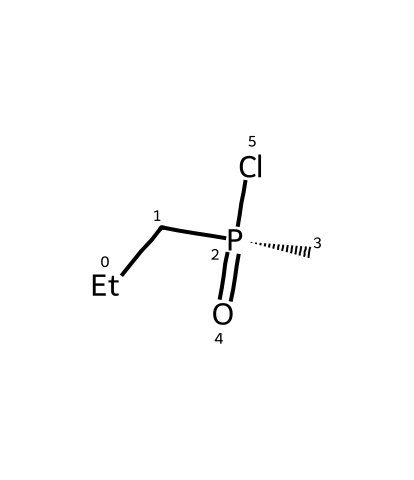 CCC[P@](C)(=O)Cl